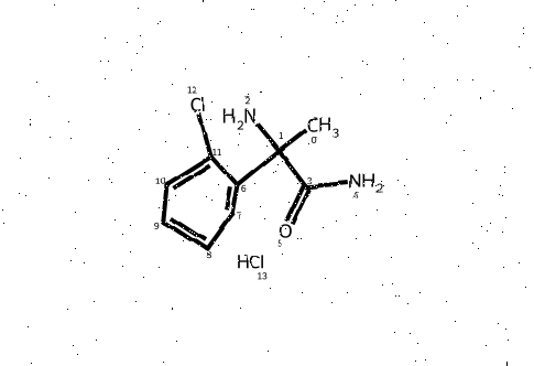 CC(N)(C(N)=O)c1ccccc1Cl.Cl